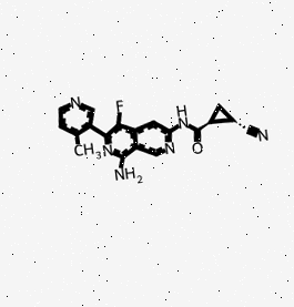 Cc1ccncc1-c1nc(N)c2cnc(NC(=O)[C@H]3C[C@@H]3C#N)cc2c1F